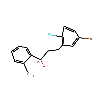 Cc1ccccc1[C@@H](O)CCc1cc(Br)ccc1F